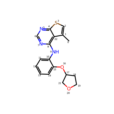 Cc1csc2ncnc(Nc3ccccc3OC3CCOC3)c12